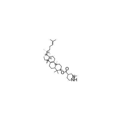 CC(C)=CCC[C@@H](C)[C@H]1CC[C@@]2(C)C3=C(CC[C@]12C)[C@@]1(C)CC[C@H](OC(=O)C2CCNN(C)C2)C(C)(C)C1CC3